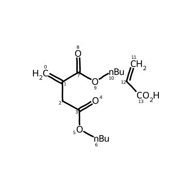 C=C(CC(=O)OCCCC)C(=O)OCCCC.C=CC(=O)O